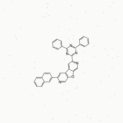 c1ccc(-c2nc(-c3ccccc3)nc(-c3cc4c(cn3)oc3cnc(-c5ccc6ccccc6c5)cc34)n2)cc1